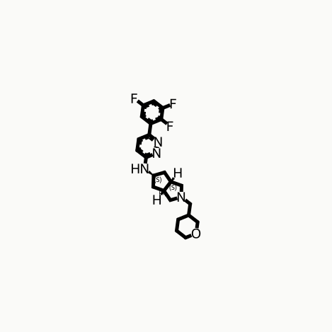 Fc1cc(F)c(F)c(-c2ccc(N[C@H]3C[C@@H]4CN(CC5CCCOC5)C[C@@H]4C3)nn2)c1